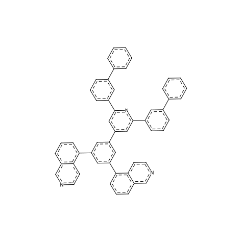 c1ccc(-c2cccc(-c3cc(-c4cc(-c5cccc6cnccc56)cc(-c5cccc6cnccc56)c4)cc(-c4cccc(-c5ccccc5)c4)n3)c2)cc1